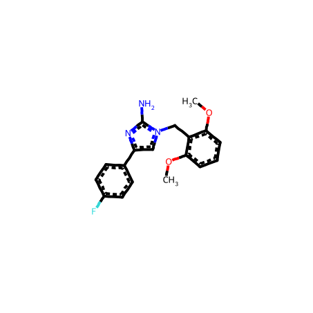 COc1cccc(OC)c1Cn1cc(-c2ccc(F)cc2)nc1N